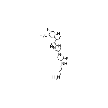 Cc1cc2c(-c3cnn4cc(N5CCC(NCCCCN)C(F)C5)cnc34)ccnc2cc1F